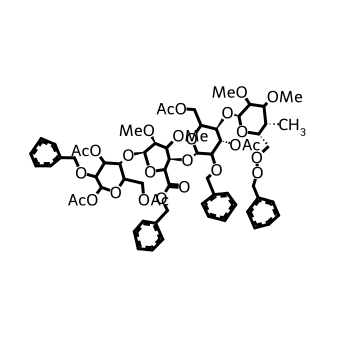 COC1C(OC)[C@H](C)[C@H](COOCc2ccccc2)O[C@@H]1O[C@@H]1C(COC(C)=O)O[C@@H](O[C@H]2C(C(=O)OCc3ccccc3)O[C@@H](O[C@@H]3C(COC(C)=O)OC(OC(C)=O)C(OCc4ccccc4)C3OC(C)=O)[C@@H](OC)C2OC)C(OCc2ccccc2)[C@H]1OC(C)=O